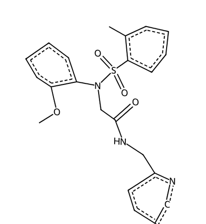 COc1ccccc1N(CC(=O)NCc1ccccn1)S(=O)(=O)c1ccccc1C